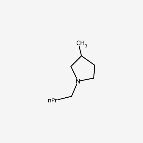 [CH2]CCCN1CCC(C)C1